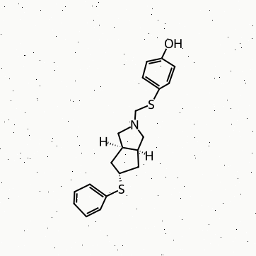 Oc1ccc(SCN2C[C@H]3C[C@H](Sc4ccccc4)C[C@H]3C2)cc1